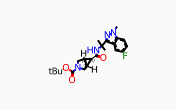 Cn1nc(C(C)(C)NC(=O)[C@H]2[C@@H]3CN(C(=O)OC(C)(C)C)C[C@@H]32)c2cc(F)ccc21